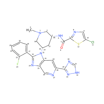 CN1C[C@H](NC(=O)c2ncc(Cl)s2)C[C@H](n2c(-c3ccccc3F)nc3cnc(-c4nc[nH]n4)cc32)C1